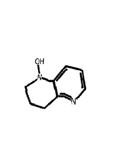 ON1CCCc2ncccc21